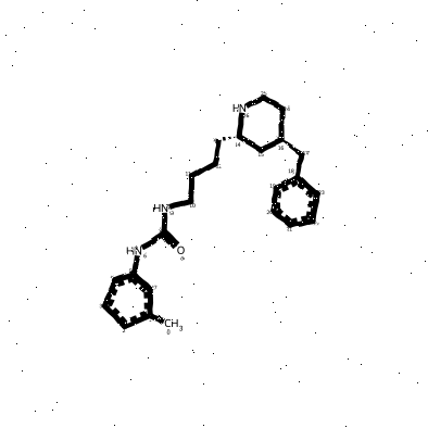 Cc1cccc(NC(=O)NCCCC[C@H]2C[C@H](Cc3ccccc3)CCN2)c1